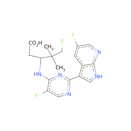 CC(C)(CF)C(CC(=O)O)Nc1nc(-c2c[nH]c3ncc(F)cc23)ncc1F